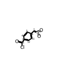 O=C(Cl)c1ccc(C=S(=O)=O)cc1